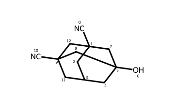 N#CC12CC3CC(O)(C1)CC(C#N)(C3)C2